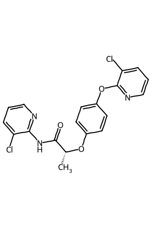 C[C@@H](Oc1ccc(Oc2ncccc2Cl)cc1)C(=O)Nc1ncccc1Cl